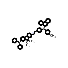 Cc1ccc(N(c2ccc(/C=C/c3ccc4c(c3)C(C)(C)c3cc(N(c5ccccc5)c5ccccc5)ccc3-4)cc2)c2cc3ccccc3c3ccccc23)cc1